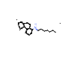 CCCCCCCNc1cccc2c1ccc1ccccc12